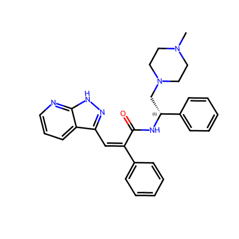 CN1CCN(C[C@@H](NC(=O)C(=Cc2n[nH]c3ncccc23)c2ccccc2)c2ccccc2)CC1